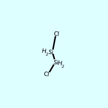 Cl[SiH2][SiH2]Cl